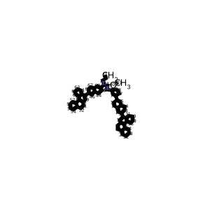 C=C/C=C(\C=C\c1cc(-c2ccc3cc(-c4cc5ccc6ccccc6c5c5ccccc45)ccc3c2)ccc1OC)c1ccc2cc(-c3cc4ccc5ccccc5c4c4ccccc34)ccc2c1